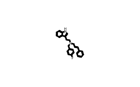 Fc1ccc(CN(C/C=C/c2ccccc2)CCc2c[nH]c3ccccc23)cc1